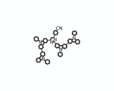 N#Cc1ccc(-c2cc(-c3ccc4c(c3)c3cc(-c5ccc6c(c5)c5ccccc5n6-c5ccccc5)ccc3n4-c3ccccc3)nc(-c3ccc4c(c3)c3cc(-c5ccc6c(c5)c5ccccc5n6-c5ccccc5)ccc3n4-c3ccccc3)n2)cc1